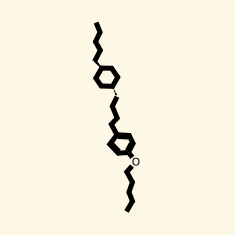 CCCCCOc1ccc(CCCC[C@H]2CC[C@H](CCCCC)CC2)cc1